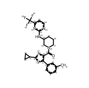 Cc1cccc(-c2sc(C3CC3)nc2C(=O)N2CCCC(Nc3nccc(C(F)(F)F)n3)C2)c1